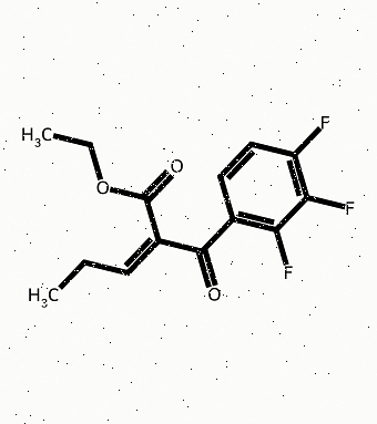 CCC=C(C(=O)OCC)C(=O)c1ccc(F)c(F)c1F